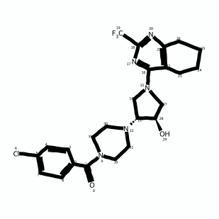 O=C(c1ccc(Cl)cc1)N1CCN([C@@H]2CN(c3nc(C(F)(F)F)nc4c3CCCC4)C[C@H]2O)CC1